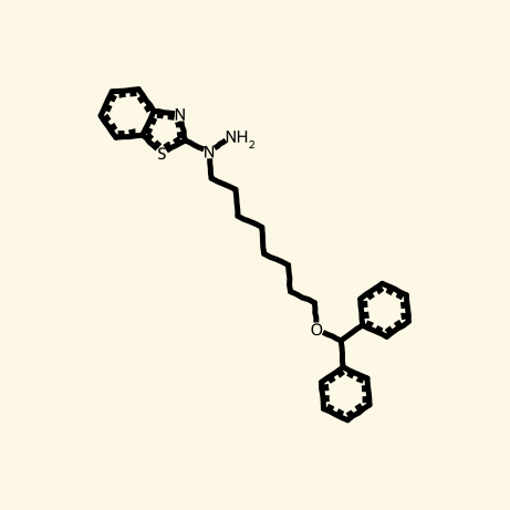 NN(CCCCCCCCOC(c1ccccc1)c1ccccc1)c1nc2ccccc2s1